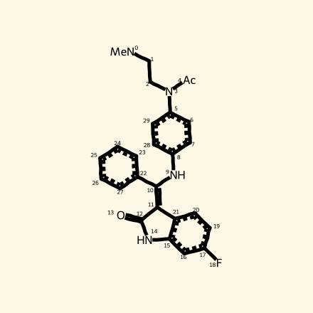 CNCCN(C(C)=O)c1ccc(NC(=C2C(=O)Nc3cc(F)ccc32)c2ccccc2)cc1